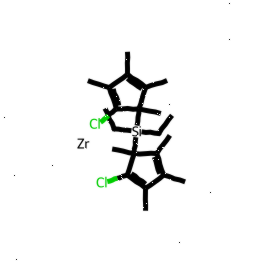 CC[Si](CC)(C1(C)C(C)=C(C)C(C)=C1Cl)C1(C)C(C)=C(C)C(C)=C1Cl.[Zr]